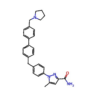 Cc1cc(C(N)=O)nn1-c1ccc(Cc2ccc(-c3ccc(CN4CCCC4)cc3)cc2)cc1